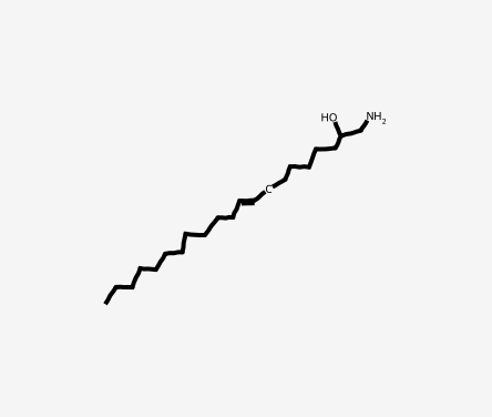 CCCCCCCCCCCC=CCCCCCCC(O)CN